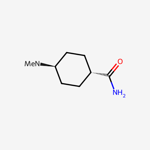 CN[C@H]1CC[C@H](C(N)=O)CC1